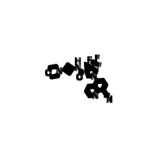 N#Cc1ccc(N2C[C@@]3(C(=O)N[C@H]4C[C@@H](N5CCOCC5)C4)C[C@@]3(C(F)(F)F)C2)c2cccnc12